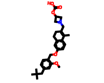 COc1cc(CC(C)(C)C)ccc1COc1ccc2c(c1)CCC(CN1CC(OC(=O)O)C1)=C2C